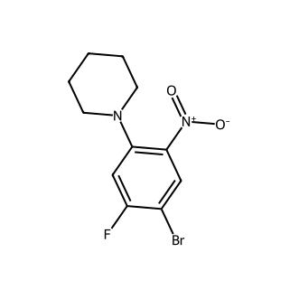 O=[N+]([O-])c1cc(Br)c(F)cc1N1CCCCC1